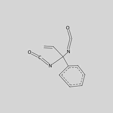 C=CC(N=C=O)(N=C=O)c1ccccc1